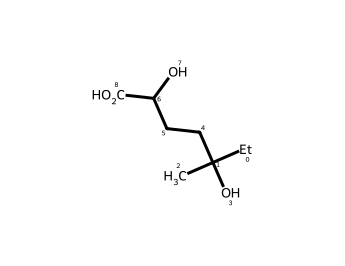 CCC(C)(O)CCC(O)C(=O)O